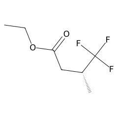 CCOC(=O)C[C@@H](C)C(F)(F)F